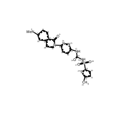 CNc1ccc2c(=O)n(-c3ccc(NC(=O)NS(=O)(=O)c4ccc(C)s4)nn3)ccc2c1